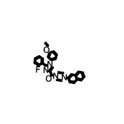 CCOc1cccc(-n2cc(C(=O)N3CCN(c4ccc5ccccc5c4)CC3)nc2-c2ccccc2F)c1